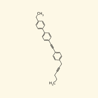 CCCC#CCc1ccc(C#Cc2ccc(-c3ccc(CC)cc3)cc2)cc1